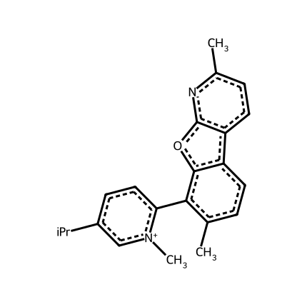 Cc1ccc2c(n1)oc1c(-c3ccc(C(C)C)c[n+]3C)c(C)ccc12